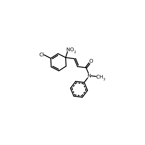 CN(C(=O)C=CC1([N+](=O)[O-])C=C(Cl)C=CC1)c1ccccc1